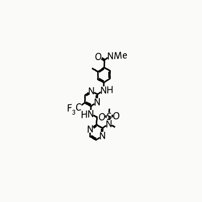 CNC(=O)c1ccc(Nc2ncc(C(F)(F)F)c(NCc3nccnc3N(C)S(C)(=O)=O)n2)cc1C